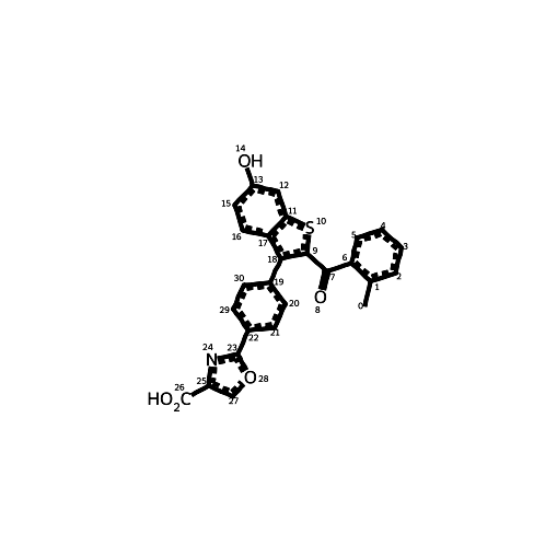 Cc1ccccc1C(=O)c1sc2cc(O)ccc2c1-c1ccc(-c2nc(C(=O)O)co2)cc1